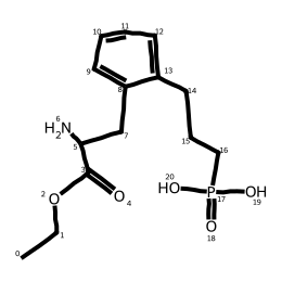 CCOC(=O)C(N)Cc1ccccc1CCCP(=O)(O)O